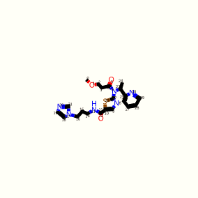 COCCC(=O)N(c1ncc(C(=O)NCCCn2ccnc2)s1)C(C)c1ccccn1